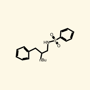 CCCCC(CNS(=O)(=O)c1ccccc1)Cc1ccccc1